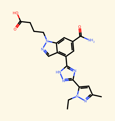 CCn1nc(C)cc1-c1n[nH]c(-c2cc(C(N)=O)cc3c2cnn3CCCC(=O)O)n1